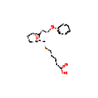 O=C(O)CCCCSCC1C2CCC(O2)C1CCOc1ccccc1